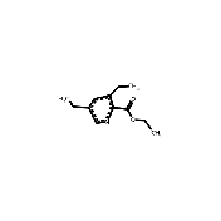 CCOC(=O)c1ncc(CC)cc1CC